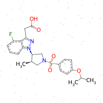 CC(C)Oc1ccc(S(=O)(=O)N2C[C@@H](C)[C@@H](n3nc(CC(=O)O)c4c(F)cccc43)C2)cc1